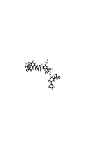 CCOc1cc(NC(=O)CCCc2ccc(-c3ccccc3)cc2NC=O)ccc1CNC[C@@H](O)c1ccc(O)c2[nH]c(=O)ccc12